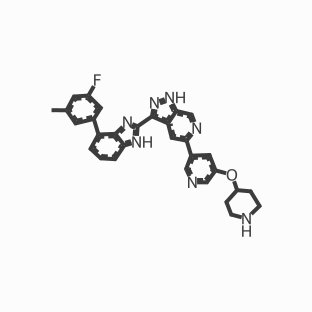 Cc1cc(F)cc(-c2cccc3[nH]c(-c4n[nH]c5cnc(-c6cncc(OC7CCNCC7)c6)cc45)nc23)c1